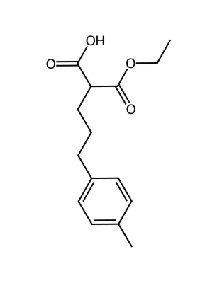 CCOC(=O)C(CCCc1ccc(C)cc1)C(=O)O